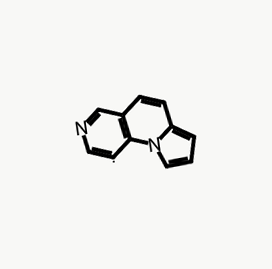 [c]1cncc2ccc3cccn3c12